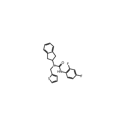 O=C(Nc1ccc(F)cc1F)N(Cc1cccs1)C1Cc2ccccc2C1